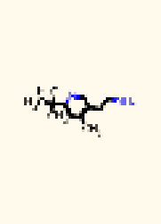 Cc1cc(C(C)(C)C)ncc1CCN